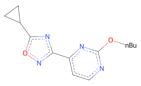 CCCCOc1nccc(-c2noc(C3CC3)n2)n1